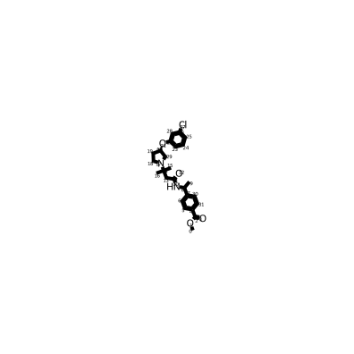 COC(=O)c1ccc(C(C)NC(=O)CC(C)(C)N2CC[C@@H](Oc3cccc(Cl)c3)C2)cc1